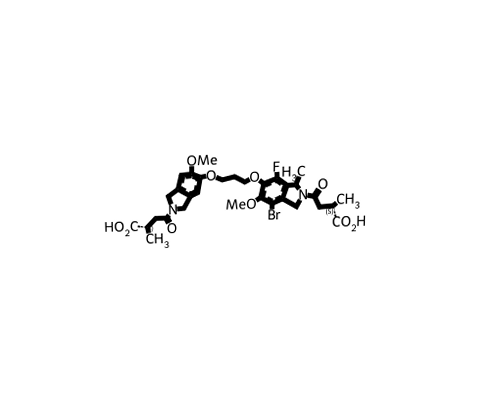 COc1cc2c(cc1OCCCOc1c(F)c3c(c(Br)c1OC)CN(C(=O)C[C@H](C)C(=O)O)C3C)CN(C(=O)C[C@H](C)C(=O)O)C2